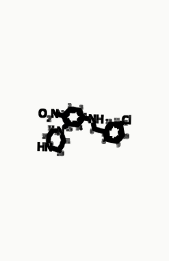 O=[N+]([O-])c1ccc(NCc2cccc(Cl)c2)cc1N1CCNCC1